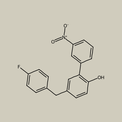 O=[N+]([O-])c1cccc(-c2cc(Cc3ccc(F)cc3)ccc2O)c1